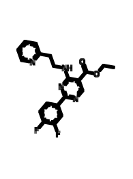 CCOC(=O)c1cnc(-c2ccc(F)c(F)c2)nc1NCCc1ccccn1